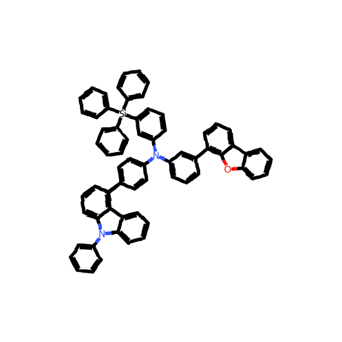 c1ccc(-n2c3ccccc3c3c(-c4ccc(N(c5cccc(-c6cccc7c6oc6ccccc67)c5)c5cccc([Si](c6ccccc6)(c6ccccc6)c6ccccc6)c5)cc4)cccc32)cc1